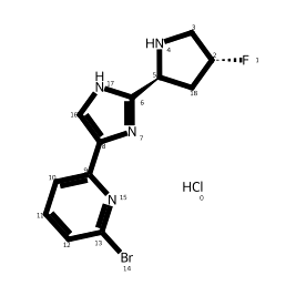 Cl.F[C@H]1CN[C@H](c2nc(-c3cccc(Br)n3)c[nH]2)C1